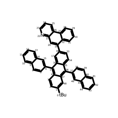 CC(C)(C)c1ccc2c(-c3ccc4ccccc4c3)c3cc(-c4cc5ncccc5c5ccccc45)ccc3c(-c3ccc4ccccc4c3)c2c1